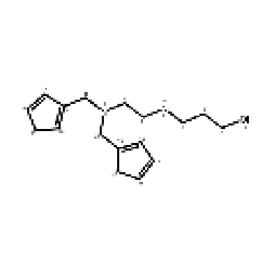 OCCCNCCN(CC1=CCC=C1)CC1=CC=CC1